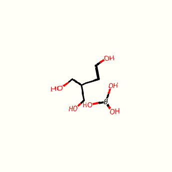 OB(O)O.OCCC(CO)CO